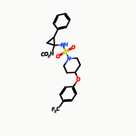 O=C(O)C1(NS(=O)(=O)N2CCC(Oc3ccc(C(F)(F)F)cc3)CC2)CC1c1ccccc1